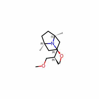 COC[C@H](C)CN1[C@@]2(C)CC[C@]1(C)C[C@H](OC)C2